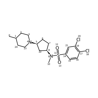 CC1CCN([C@H]2CC[C@@H](N(C)S(=O)(=O)c3ccc(Cl)c(Cl)c3)C2)CC1